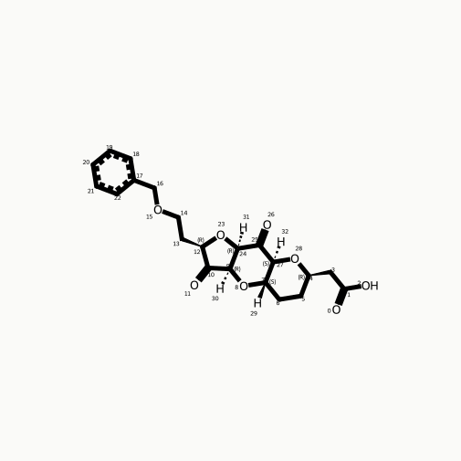 O=C(O)C[C@H]1CC[C@@H]2O[C@H]3C(=O)[C@@H](CCOCc4ccccc4)O[C@H]3C(=O)[C@H]2O1